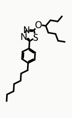 CCCCCCCc1ccc(-c2nnc(OC(CCC)CCCC)s2)cc1